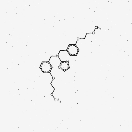 COCCOc1cccc(CN(Cc2cccc(OCCOC)c2)c2ncco2)c1